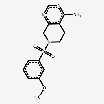 COc1cccc(S(=O)(=O)N2CCc3c(N)ncnc3C2)c1